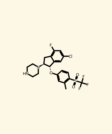 Cc1cc(O[C@H]2c3cc(Cl)cc(F)c3C[C@@H]2N2CCNCC2)ccc1S(=O)(=O)C(F)(F)F